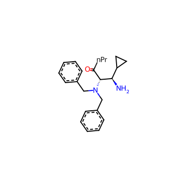 CCCC(=O)[C@H]([C@H](N)C1CC1)N(Cc1ccccc1)Cc1ccccc1